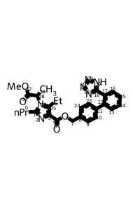 CCCc1nc(C(=O)OCc2ccc(-c3ccccc3-c3nnn[nH]3)cc2)c(CC)n1C(C)C(=O)OC